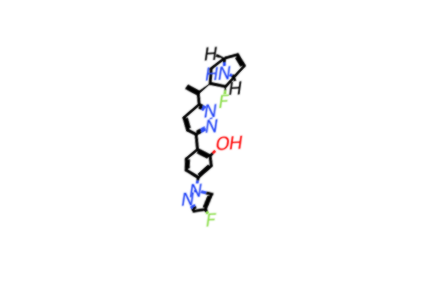 C=C(c1ccc(-c2ccc(-n3cc(F)cn3)cc2O)nn1)[C@H]1C[C@@H]2C=C[C@@H](N2)[C@H]1F